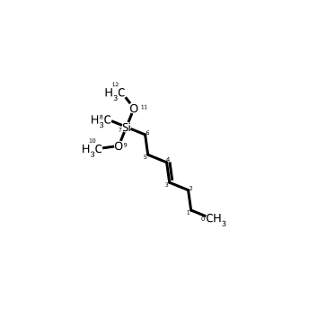 CCCC=CCC[Si](C)(OC)OC